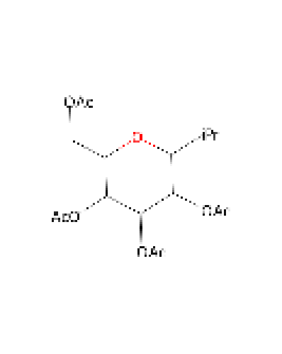 CC(=O)OCC1OC(C(C)C)C(OC(C)=O)C(OC(C)=O)C1OC(C)=O